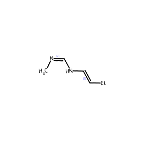 CC/C=C/N/C=N\C